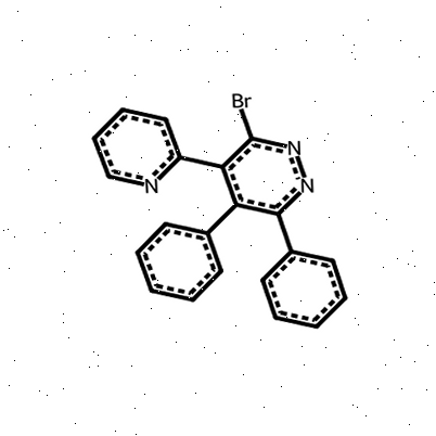 Brc1nnc(-c2ccccc2)c(-c2ccccc2)c1-c1ccccn1